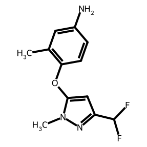 Cc1cc(N)ccc1Oc1cc(C(F)F)nn1C